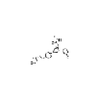 CC(C)NC(=O)Cn1cc(-c2ccc(CCN3CCOCC3)cc2)cc1-c1cccc(Cl)c1